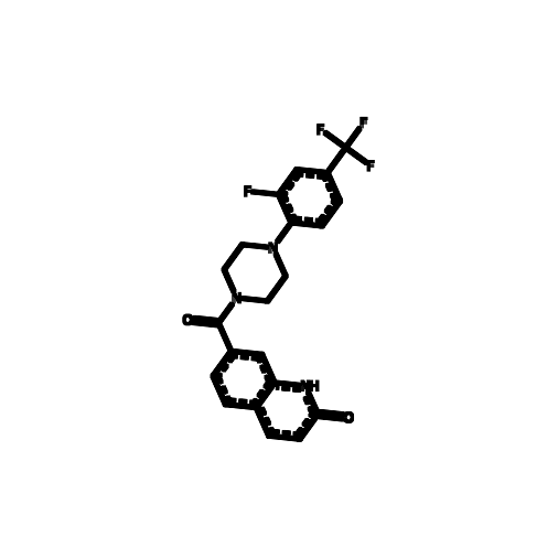 O=C(c1ccc2ccc(=O)[nH]c2c1)N1CCN(c2ccc(C(F)(F)F)cc2F)CC1